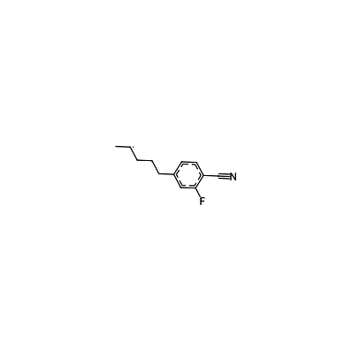 C[CH]CCCc1ccc(C#N)c(F)c1